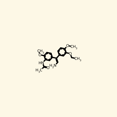 CCOc1cc(C(=CN)c2ccc(OC)c(NC(C)=O)c2)ccc1OC